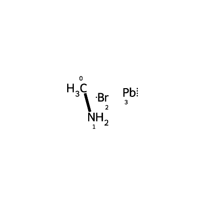 CN.[Br].[Pb]